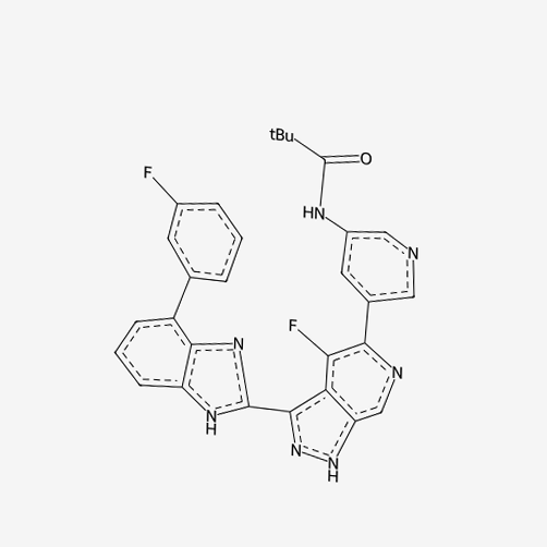 CC(C)(C)C(=O)Nc1cncc(-c2ncc3[nH]nc(-c4nc5c(-c6cccc(F)c6)cccc5[nH]4)c3c2F)c1